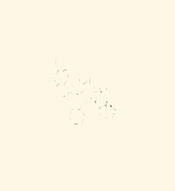 O=C(C1=C(O)C(=O)N(c2ccccn2)C1c1ccccc1)c1ccc(Cl)cc1